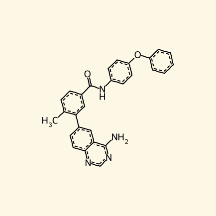 Cc1ccc(C(=O)Nc2ccc(Oc3ccccc3)cc2)cc1-c1ccc2ncnc(N)c2c1